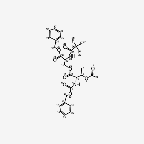 CC(=O)O[C@H](C)[C@H](NC(=O)OCc1ccccc1)C(=O)OC[C@H](NC(=O)C(F)(F)F)C(=O)OCc1ccccc1